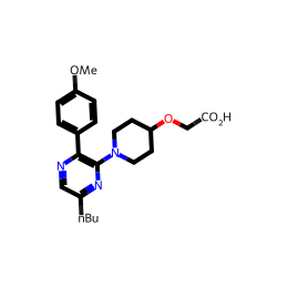 CCCCc1cnc(-c2ccc(OC)cc2)c(N2CCC(OCC(=O)O)CC2)n1